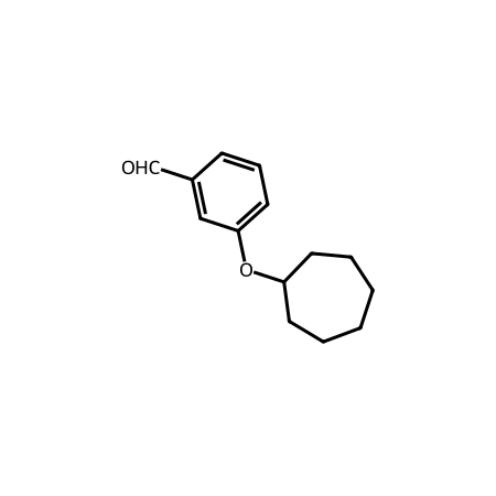 O=Cc1cccc(OC2CCCCCC2)c1